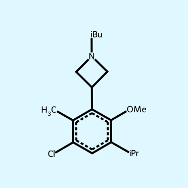 CCC(C)N1CC(c2c(C)c(Cl)cc(C(C)C)c2OC)C1